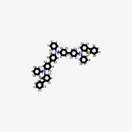 c1ccc(N(c2ccc(-c3ccc(N(c4ccccc4)c4cccc5c4sc4ccccc45)cc3)cc2)c2ccc(-c3ccc(N(c4ccccc4)c4cccc5c4sc4ccccc45)cc3)cc2)cc1